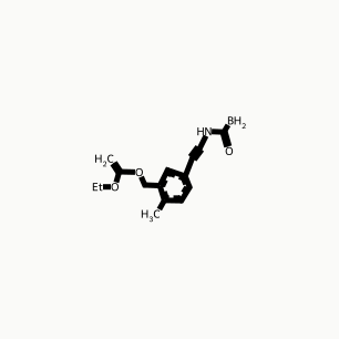 BC(=O)NC#Cc1ccc(C)c(COC(=C)OCC)c1